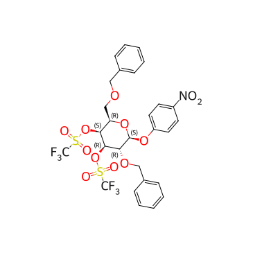 O=[N+]([O-])c1ccc(O[C@@H]2O[C@H](COCc3ccccc3)[C@H](OS(=O)(=O)C(F)(F)F)[C@H](OS(=O)(=O)C(F)(F)F)[C@H]2OCc2ccccc2)cc1